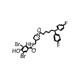 O=C(NCC1CCN(C(=O)CCCCC(c2ccc(F)cc2)c2ccc(F)cc2)C1)c1cc(Br)c(O)c(Br)c1